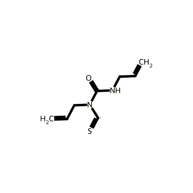 C=CCNC(=O)N([C]=S)CC=C